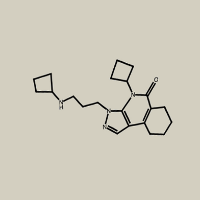 O=c1c2c(c3cnn(CCCNC4CCC4)c3n1C1CCC1)CCCC2